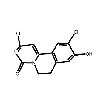 O=c1nc(Cl)cc2n1CCc1cc(O)c(O)cc1-2